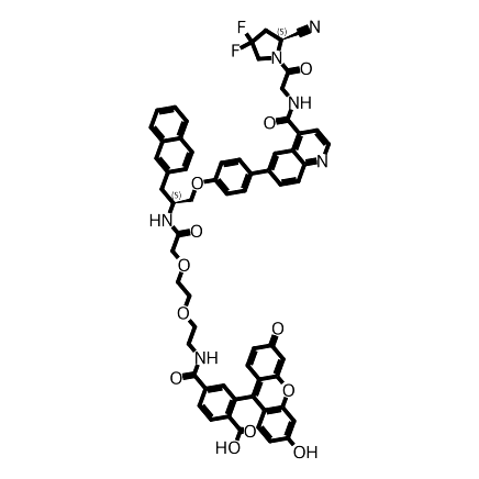 N#C[C@@H]1CC(F)(F)CN1C(=O)CNC(=O)c1ccnc2ccc(-c3ccc(OC[C@H](Cc4ccc5ccccc5c4)NC(=O)COCCOCCNC(=O)c4ccc(C(=O)O)c(-c5c6ccc(=O)cc-6oc6cc(O)ccc56)c4)cc3)cc12